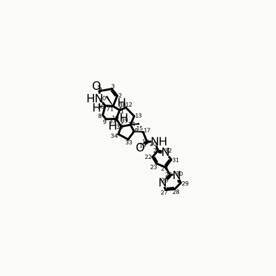 C[C@]12C=CC(=O)N[C@@H]1CC[C@@H]1[C@@H]2CC[C@]2(C)[C@@H](CC(=O)Nc3ccc(-c4ncccn4)cn3)CC[C@@H]12